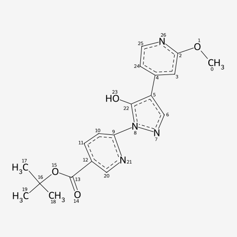 COc1cc(-c2cnn(-c3ccc(C(=O)OC(C)(C)C)cn3)c2O)ccn1